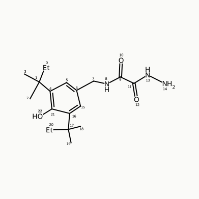 CCC(C)(C)c1cc(CNC(=O)C(=O)NN)cc(C(C)(C)CC)c1O